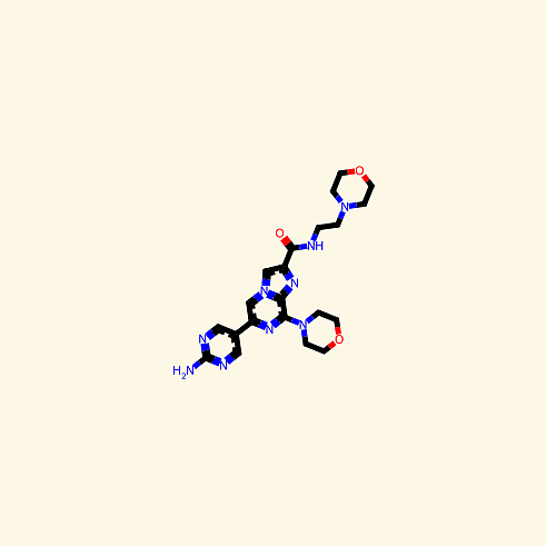 Nc1ncc(-c2cn3cc(C(=O)NCCN4CCOCC4)nc3c(N3CCOCC3)n2)cn1